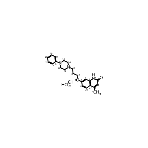 Cc1cc(=O)[nH]c2cc(OCCCN3CCN(c4ccccc4)CC3)ccc12.Cl.Cl